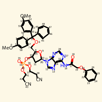 COc1ccc(C(OC[C@H]2O[C@@H](n3cnc4c(NC(=O)COc5ccccc5)ncnc43)CC2OP(=O)(OCCC#N)OCCC#N)(c2ccccc2)c2ccc(OC)cc2)cc1